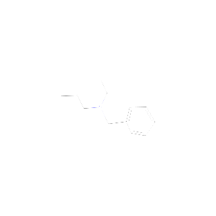 CCCN(CC)Cc1ccccc1